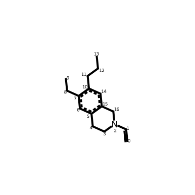 C=CN1CCc2cc(CC)c(CCC)cc2C1